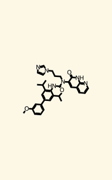 COc1cccc(-c2cc(C(C)C)c(NC(=O)N(CCCn3ccnc3)c3cc4cccnc4[nH]c3=O)c(C(C)C)c2)c1